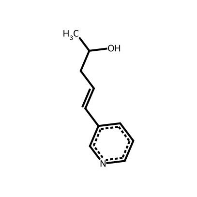 CC(O)C/C=C/c1cccnc1